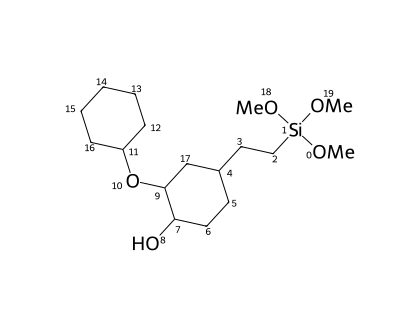 CO[Si](CCC1CCC(O)C(OC2CCCCC2)C1)(OC)OC